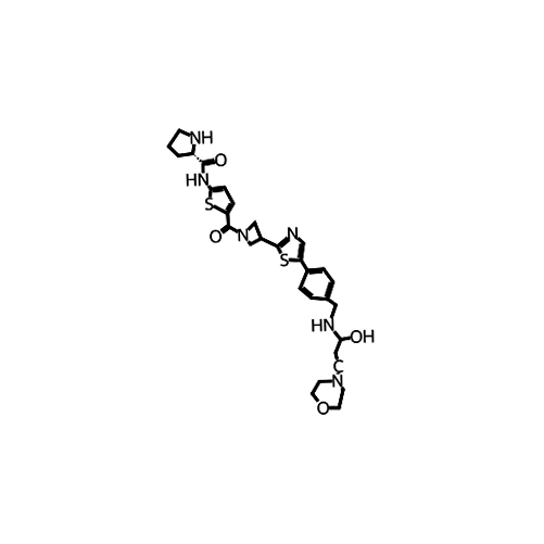 O=C(Nc1ccc(C(=O)N2CC(c3ncc(-c4ccc(CNC(O)CCN5CCOCC5)cc4)s3)C2)s1)[C@@H]1CCCN1